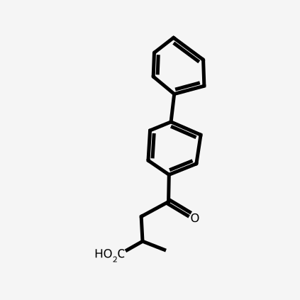 CC(CC(=O)c1ccc(-c2ccccc2)cc1)C(=O)O